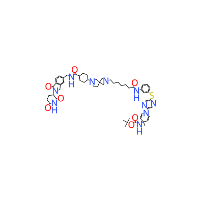 CC1(NC(=O)OC(C)(C)C)C=CN(c2cnc(Sc3cccc(NC(=O)CCCCCCN4CC5(CCN(C6CCC(C(=O)NCc7ccc8c(c7)CN(C7CCC(=O)NC7=O)C8=O)CC6)C5)C4)c3)cn2)C=C1